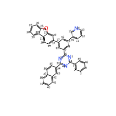 c1ccc(-c2nc(-c3cc(-c4cccnc4)cc(-c4ccc5c(c4)oc4ccccc45)c3)nc(-c3ccc4ccccc4c3)n2)cc1